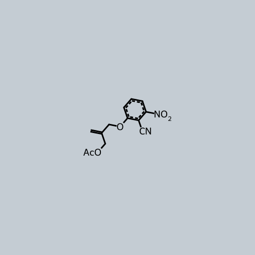 C=C(COC(C)=O)COc1cccc([N+](=O)[O-])c1C#N